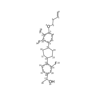 C=CCCOc1ccc(C2CCC(c3ccc(C(C)O)cc3F)CC2)c(F)c1F